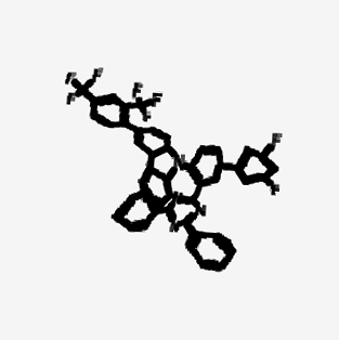 Fc1cc(F)cc(-c2ccc(N3c4ccccc4C4C=C(c5ccc(C(F)(F)F)cc5C(F)(F)F)C=CC43)c(-c3nc(-c4ccccc4)nc(-c4ccccc4)n3)c2)c1